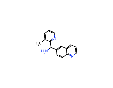 NC(c1ccc2ncccc2c1)c1ncccc1C(F)(F)F